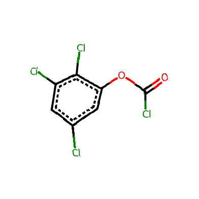 O=C(Cl)Oc1cc(Cl)cc(Cl)c1Cl